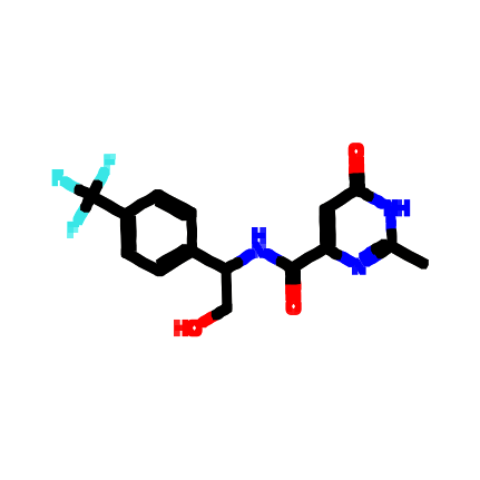 Cc1nc(C(=O)NC(CO)c2ccc(C(F)(F)F)cc2)cc(=O)[nH]1